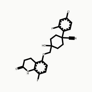 N#CC1(c2ccc(Cl)cc2F)CCC(O)(COc2ccc(F)c3c2CCC(=O)N3)CC1